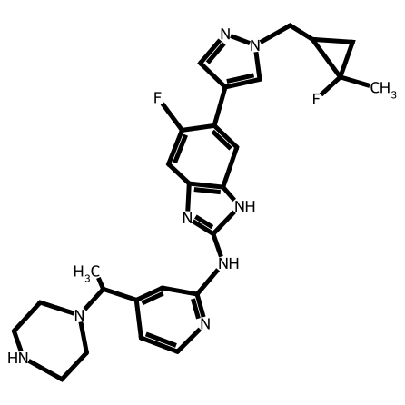 CC(c1ccnc(Nc2nc3cc(F)c(-c4cnn(CC5CC5(C)F)c4)cc3[nH]2)c1)N1CCNCC1